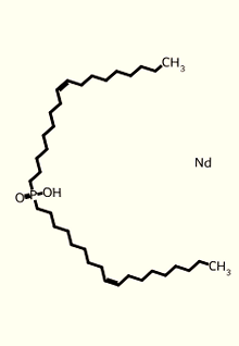 CCCCCCCC/C=C\CCCCCCCCP(=O)(O)CCCCCCCC/C=C\CCCCCCCC.[Nd]